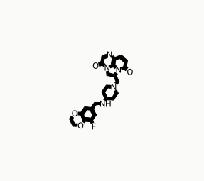 O=c1cnc2ccc(=O)n3c2n1CC3CN1CCC(NCc2cc(F)c3c(c2)OCCO3)CC1